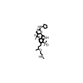 CNCCOC(C)CCc1ccc2c(-c3nc(NC4CCCC4)ncc3C(F)(F)F)c[nH]c2c1P(C)(C)=O